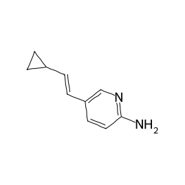 Nc1ccc(C=CC2CC2)cn1